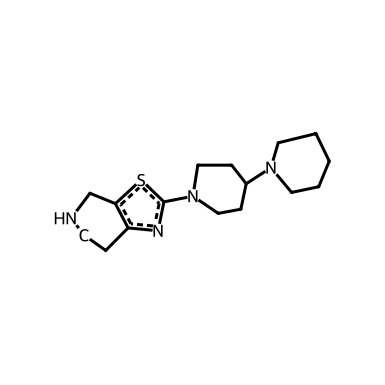 C1CCN(C2CCN(c3nc4c(s3)CNCC4)CC2)CC1